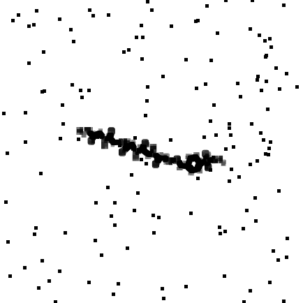 NC(=O)CNC(=O)CNC(=O)CNC(=O)CNC(=O)/C=N/OCc1ccc(S(N)(=O)=O)cc1